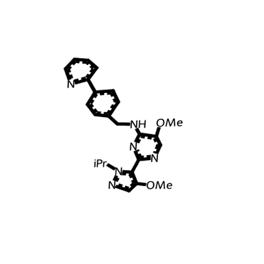 COc1cnc(-c2c(OC)cnn2C(C)C)nc1NCc1ccc(-c2ccccn2)cc1